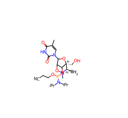 B[C@H]1N(C)OC2C(n3cc(C)c(=O)[nH]c3=O)O[C@]1(CO)C2OP(OCCC#N)N(C(C)C)C(C)C